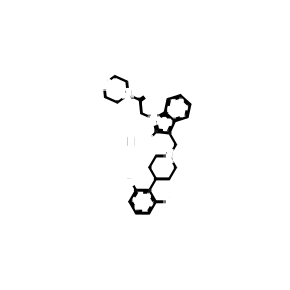 Cc1c(CN2CCC(c3c(F)cccc3Cl)CC2)c2ccccc2n1CC(=O)N1CCOCC1